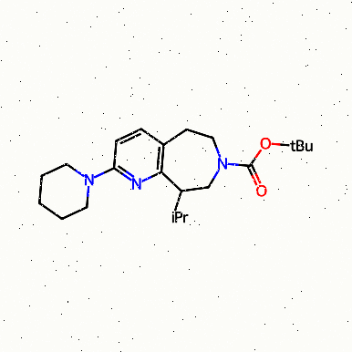 CC(C)C1CN(C(=O)OC(C)(C)C)CCc2ccc(N3CCCCC3)nc21